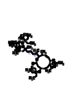 CC[C@H](O[Si](CC)(CC)CC)[C@@H](C)[C@@H]1O[C@H]1CC(C)(/C=C/C=C(\C)C1OC(=O)CC(O[Si](CC)(CC)CC)CCC(C)(OC)C(OC(C)=O)C=CC1C)O[Si](CC)(CC)CC